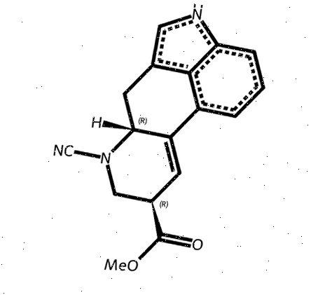 COC(=O)[C@@H]1C=C2c3cccc4[nH]cc(c34)C[C@H]2N(C#N)C1